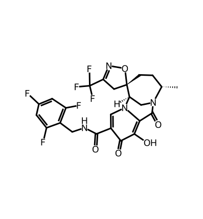 C[C@H]1CC[C@]2(CC(C(F)(F)F)=NO2)[C@H]2CN1C(=O)c1c(O)c(=O)c(C(=O)NCc3c(F)cc(F)cc3F)cn12